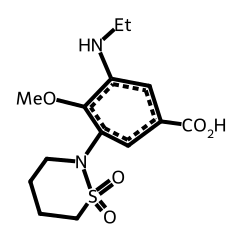 CCNc1cc(C(=O)O)cc(N2CCCCS2(=O)=O)c1OC